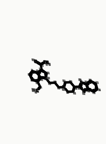 CCc1cccc2c(C(C)=O)cn(CCCN3CCC(c4nc5ccccc5s4)CC3)c12